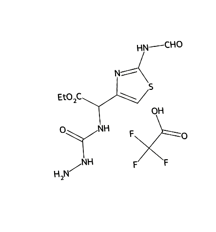 CCOC(=O)C(NC(=O)NN)c1csc(NC=O)n1.O=C(O)C(F)(F)F